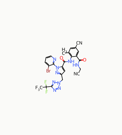 Cc1cc(C#N)cc(C(=O)NCC#N)c1NC(=O)c1cc(Cn2nnc(C(F)(F)C(F)(F)F)n2)nn1-c1ncccc1Br